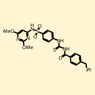 COc1cc(NS(=O)(=O)c2ccc(NC(=S)NC(=O)c3ccc(CC(C)C)cc3)cc2)nc(OC)n1